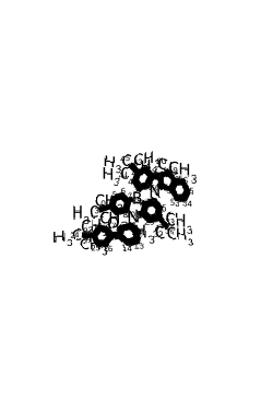 CC(C)(C)c1ccc2c(c1)N(c1cccc3c1oc1cc(C(C)(C)C)ccc13)c1cc(C(C)(C)C)cc3c1B2c1cc(C(C)(C)C)cc2c4c(n-3c12)-c1ccccc1C4(C)C